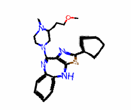 COCCC1CN(C2=Nc3ccccc3Nc3sc(C4CCCC4)nc32)CCN1C